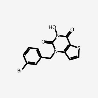 O=c1c2sccc2n(Cc2cccc(Br)c2)c(=O)n1O